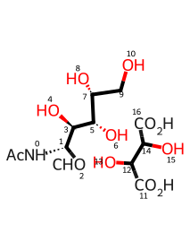 CC(=O)N[C@@H](C=O)[C@@H](O)[C@@H](O)[C@H](O)CO.O=C(O)C(O)C(O)C(=O)O